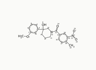 COc1cccc(C2(O)CCCN(C(=O)c3ccc(C)c([N+](=O)[O-])c3)C2)c1